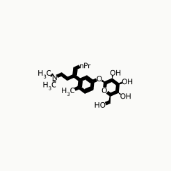 CCC/C=C(/CCN(C)C)c1cc(O[C@@H]2O[C@H](CO)[C@@H](O)[C@H](O)[C@H]2O)ccc1C